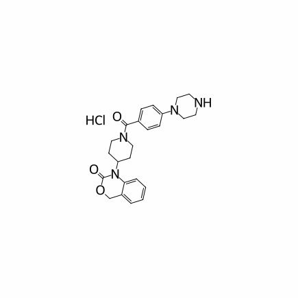 Cl.O=C(c1ccc(N2CCNCC2)cc1)N1CCC(N2C(=O)OCc3ccccc32)CC1